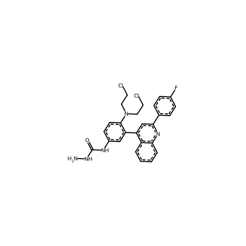 NNC(=O)Nc1ccc(N(CCCl)CCCl)c(-c2cc(-c3ccc(F)cc3)nc3ccccc23)c1